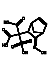 O=C(O)C(C(=O)O)(C1C(=NO)C2C=CC1C2)S(=O)(=O)O